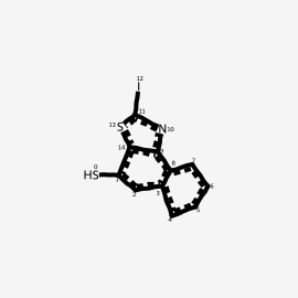 Sc1cc2ccccc2c2nc(I)sc12